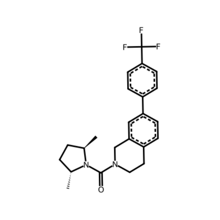 C[C@@H]1CC[C@@H](C)N1C(=O)N1CCc2ccc(-c3ccc(C(F)(F)F)cc3)cc2C1